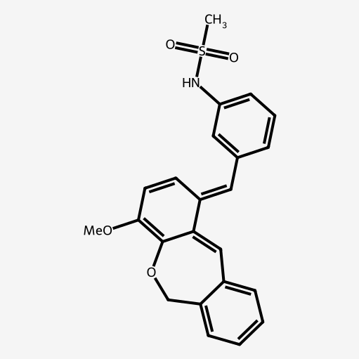 COc1ccc(=Cc2cccc(NS(C)(=O)=O)c2)c2c1OCc1ccccc1C=2